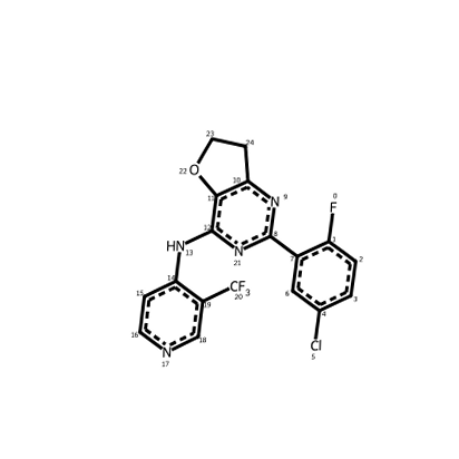 Fc1ccc(Cl)cc1-c1nc2c(c(Nc3ccncc3C(F)(F)F)n1)OCC2